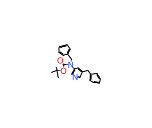 CC(C)(C)OC(=O)N(Cc1ccccc1)c1cncc(Cc2ccccc2)c1